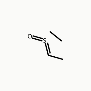 CC.CC=S=O